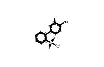 Nc1ccc(-c2ccccc2S(=O)(=O)O)cc1F